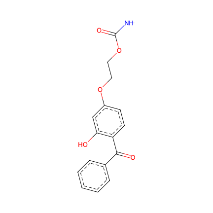 [NH]C(=O)OCCOc1ccc(C(=O)c2ccccc2)c(O)c1